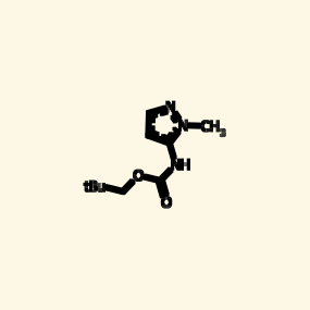 Cn1nccc1NC(=O)OCC(C)(C)C